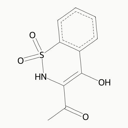 CC(=O)C1=C(O)c2ccccc2S(=O)(=O)N1